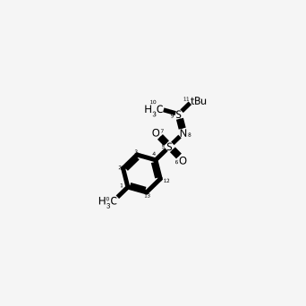 Cc1ccc(S(=O)(=O)N=S(C)C(C)(C)C)cc1